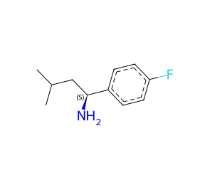 CC(C)C[C@H](N)c1ccc(F)cc1